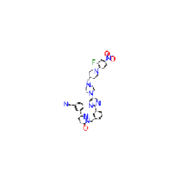 N#Cc1cccc(-c2ccc(=O)n(Cc3cccc(-c4ncc(N5CCN(CC6CCN(c7ccc([N+](=O)[O-])cc7F)CC6)CC5)cn4)c3)n2)c1